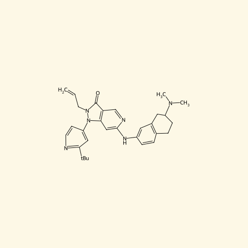 C=CCn1c(=O)c2cnc(Nc3ccc4c(c3)CC(N(C)C)CC4)cc2n1-c1ccnc(C(C)(C)C)c1